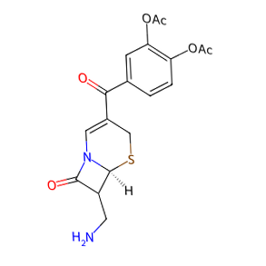 CC(=O)Oc1ccc(C(=O)C2=CN3C(=O)C(CN)[C@@H]3SC2)cc1OC(C)=O